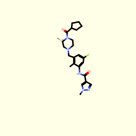 Cc1c(CN2CCN(C(=O)C3CCCC3)[C@@H](C)C2)cc(F)cc1NC(=O)c1cnn(C)c1